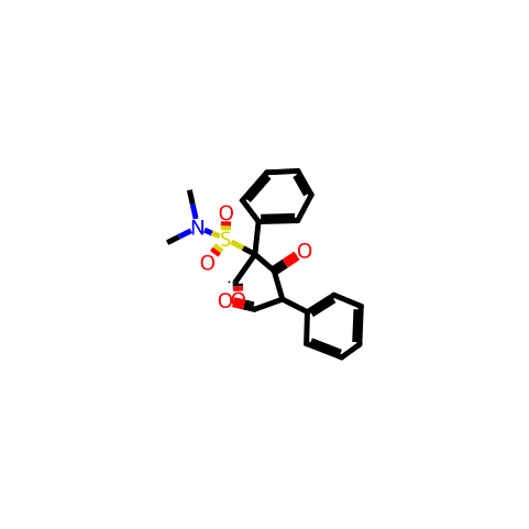 CN(C)S(=O)(=O)C([C]=O)(C(=O)C(C=O)c1ccccc1)c1ccccc1